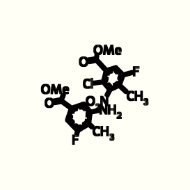 COC(=O)c1cc(F)c(C)c([N+](=O)[O-])c1Cl.COC(=O)c1cc(N)c(C)c(F)c1